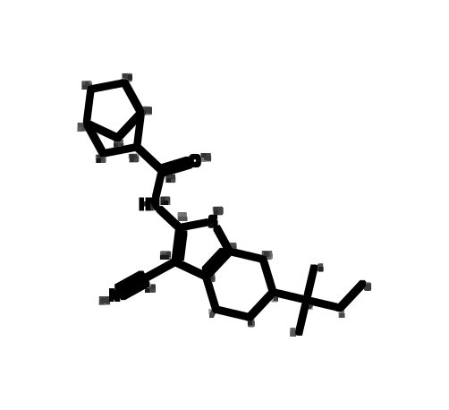 CCC(C)(C)C1CCc2c(sc(NC(=O)C3CC4CCC3C4)c2C#N)C1